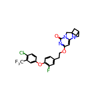 O=c1nc(OCCc2ccc(Oc3ccc(Cl)c(C(F)(F)F)c3)c(F)c2)cc2n1CC13CC(CN21)C3